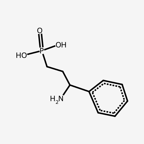 NC(CCP(=O)(O)O)c1ccccc1